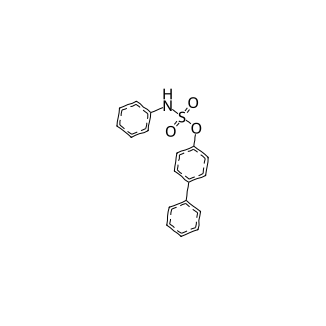 O=S(=O)(Nc1ccccc1)Oc1ccc(-c2ccccc2)cc1